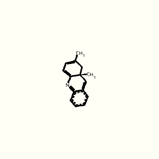 CC1=CC=C2N=c3ccccc3=C[C@@]2(C)C1